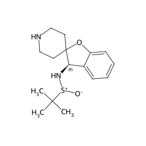 CC(C)(C)[S+]([O-])N[C@@H]1c2ccccc2OC12CCNCC2